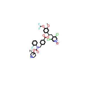 COc1cc(C(Cc2c(Cl)c[n+]([O-])cc2Cl)OC(=O)c2ccc(CN(C(=O)O[C@H]3CN4CCC3CC4)c3ccccc3F)cc2)ccc1OC(F)F